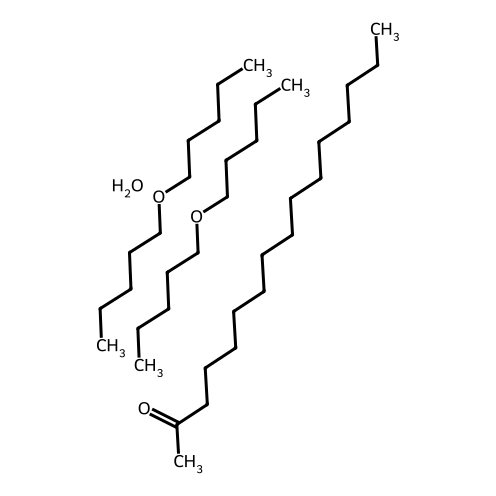 CCCCCCCCCCCCCCC(C)=O.CCCCCOCCCCC.CCCCCOCCCCC.O